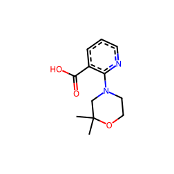 CC1(C)CN(c2ncccc2C(=O)O)CCO1